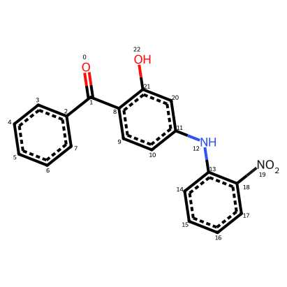 O=C(c1ccccc1)c1ccc(Nc2ccccc2[N+](=O)[O-])cc1O